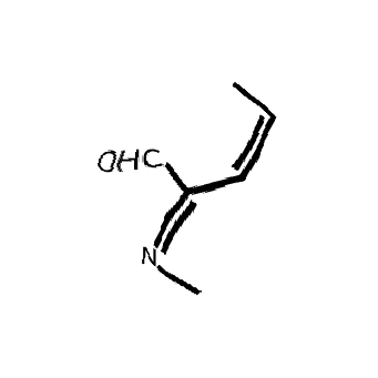 C/C=C\C(C=O)=N/C